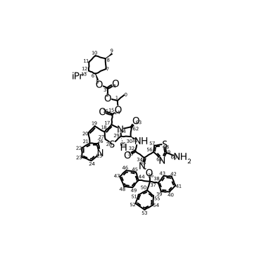 CC(OC(=O)O[C@@H]1C[C@H](C)CC[C@H]1C(C)C)OC(=O)C1=C(/C=C\c2cccnc2)CS[C@@H]2[C@H](NC(=O)/C(=N/OC(c3ccccc3)(c3ccccc3)c3ccccc3)c3csc(N)n3)C(=O)N12